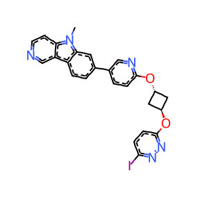 Cn1c2ccncc2c2ccc(-c3ccc(O[C@H]4C[C@H](Oc5ccc(I)nn5)C4)nc3)cc21